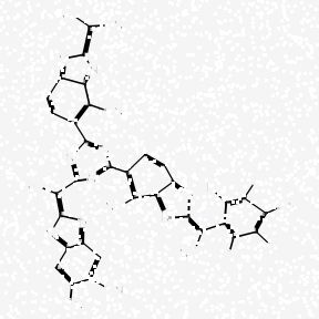 N#CC(C#N)=C1N=c2ccc(-c3nc(C(C#N)=C4N=c5cc(C#N)c(C#N)cc5=N4)nc(-c4ccc5c(c4C#N)=N/C(=C(\C#N)c4c(F)c(F)c(C#N)c(F)c4F)N=5)n3)c(C#N)c2=N1